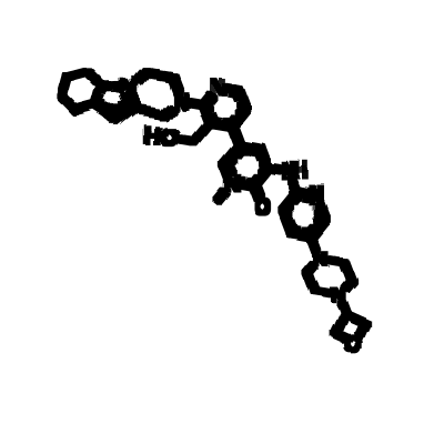 Cn1cc(-c2ccnc(N3CCn4c(cc5c4CCCC5)C3)c2CO)cc(Nc2ccc(N3CCN(C4COC4)CC3)cn2)c1=O